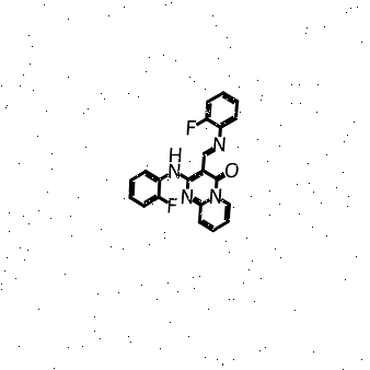 O=c1c(C=Nc2ccccc2F)c(Nc2ccccc2F)nc2ccccn12